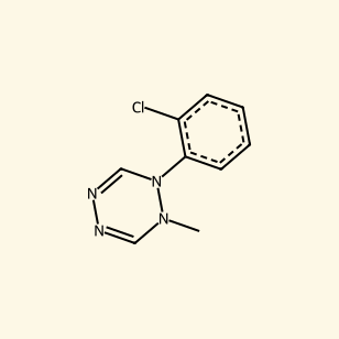 CN1C=NN=CN1c1ccccc1Cl